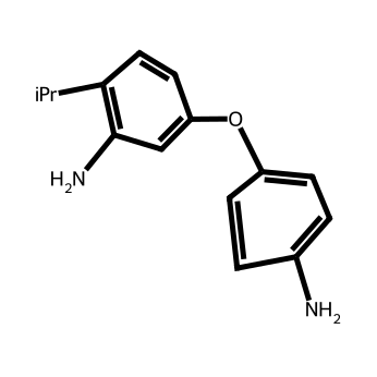 CC(C)c1ccc(Oc2ccc(N)cc2)cc1N